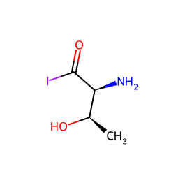 C[C@@H](O)[C@H](N)C(=O)I